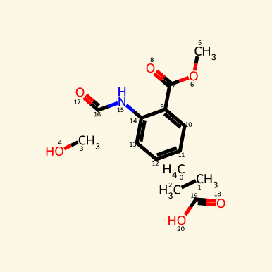 C.CC.CO.COC(=O)c1ccccc1NC=O.O=CO